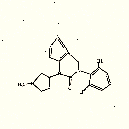 Cc1cccc(Cl)c1N1Cc2cnccc2N(C2CCN(C)C2)C1=O